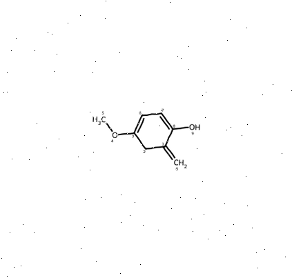 C=C1CC(OC)=CC=C1O